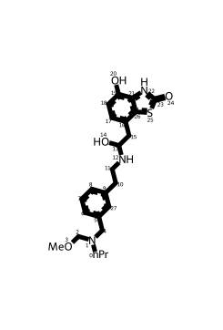 CCCN(COC)Cc1cccc(CCNC(O)Cc2ccc(O)c3[nH]c(=O)sc23)c1